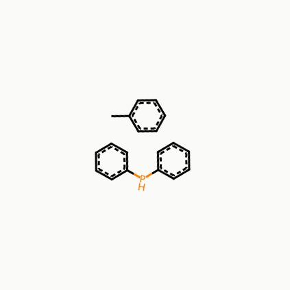 Cc1ccccc1.c1ccc(Pc2ccccc2)cc1